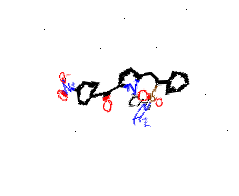 Cn1c(CC(c2ccccc2)S(N)(=O)=O)ccc1C(=O)c1ccc([N+](=O)[O-])cc1